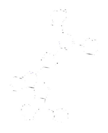 c1ccc(-c2cc(-c3ccccc3)nc(-c3ccc(-c4nc5ccccc5c5c4ccc4c5c5ccccc5n4-c4ccccc4)cc3)c2)cc1